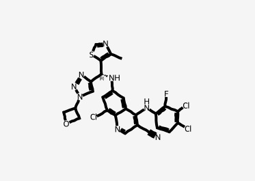 Cc1ncsc1[C@H](Nc1cc(Cl)c2ncc(C#N)c(Nc3ccc(Cl)c(Cl)c3F)c2c1)c1cn(C2COC2)nn1